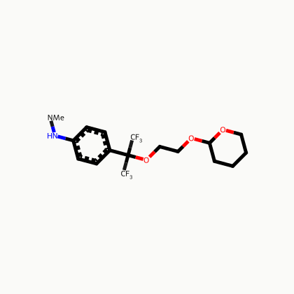 CNNc1ccc(C(OCCOC2CCCCO2)(C(F)(F)F)C(F)(F)F)cc1